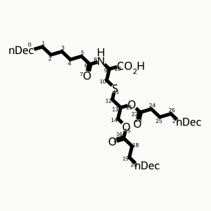 CCCCCCCCCCCCCCCC(=O)NC(CSCC(COC(=O)CCCCCCCCCCCC)OC(=O)CCCCCCCCCCCCC)C(=O)O